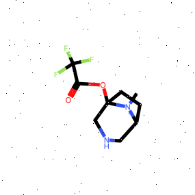 CN1C2CCC1(OC(=O)C(F)(F)F)CNC2